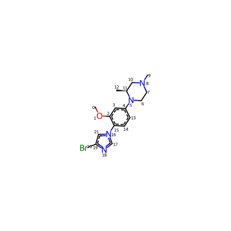 COc1cc(N2CCN(C)C[C@@H]2C)ccc1-n1cnc(Br)c1